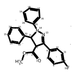 COC(=O)C1C(c2ccc(F)cc2)=NN(c2ccccc2)C1c1ccccc1